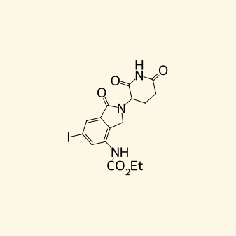 CCOC(=O)Nc1cc(I)cc2c1CN(C1CCC(=O)NC1=O)C2=O